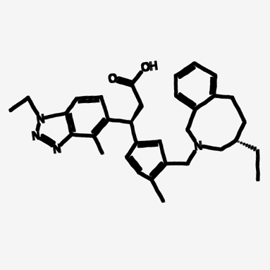 CC[C@H]1CCc2ccccc2CN(Cc2cc([C@H](CC(=O)O)c3ccc4c(nnn4CC)c3C)ccc2C)C1